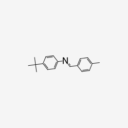 Cc1ccc(C=Nc2ccc(C(C)(C)C)cc2)cc1